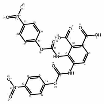 O=C(Nc1ccc(C(=O)O)c(C(=O)O)c1NC(=O)Oc1ccc([N+](=O)[O-])cc1)Oc1ccc([N+](=O)[O-])cc1